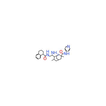 CC1CC2CC(CC(C)(C(=O)Nc3ccncc3)C2)C1C(N)CNC(=O)C1CCCc2ccccc21